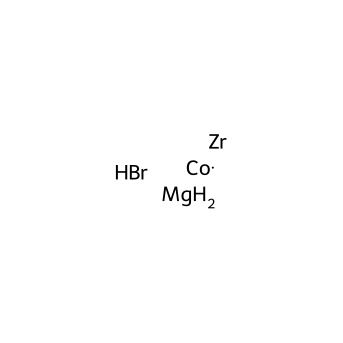 Br.[Co].[MgH2].[Zr]